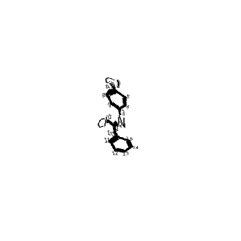 ClC(=Nc1ccc(Cl)cc1)c1ccccc1